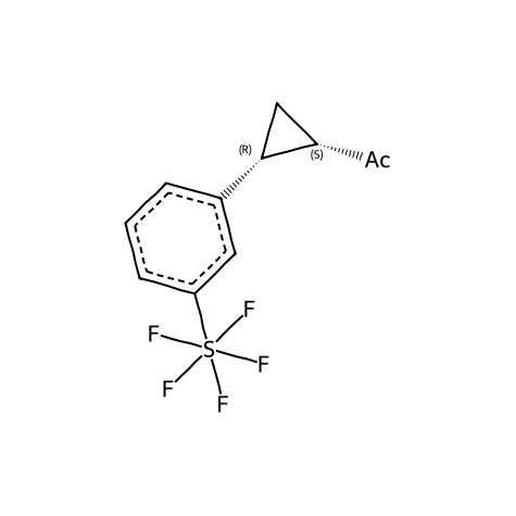 CC(=O)[C@H]1C[C@H]1c1cccc(S(F)(F)(F)(F)F)c1